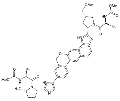 CC[C@H](C)[C@H](NC(=O)OC)C(=O)N1C[C@@H](COC)C[C@H]1c1nc2ccc3cc4c(cc3c2[nH]1)OCc1cc(-c2cnc([C@@H]3CC[C@H](C)N3C(=O)[C@@H](NC(=O)OC)C(C)C)[nH]2)ccc1-4